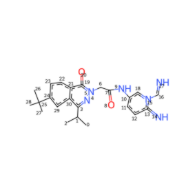 CC(C)c1nn(CC(=O)Nc2ccc(=N)n(C=N)c2)c(=O)c2ccc(C(C)(C)C)cc12